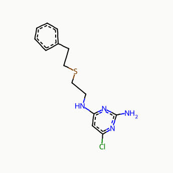 Nc1nc(Cl)cc(NCCSCCc2ccccc2)n1